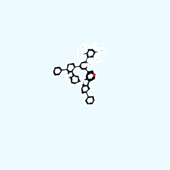 Oc1c(O)c(O)c(-c2cc(-c3ccc(-c4ccccc4)c4sc5ccc(-n6c7ccccc7c7cc(-c8ccccc8)ccc76)cc5c34)cc(-c3ccccc3)n2)c(O)c1O